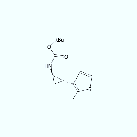 Cc1sccc1[C@@H]1C[C@H]1NC(=O)OC(C)(C)C